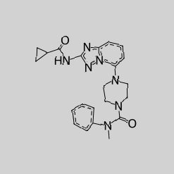 CN(C(=O)N1CCN(c2cccc3nc(NC(=O)C4CC4)nn23)CC1)c1ccccc1